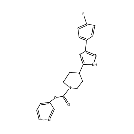 O=C(Oc1cccnc1)N1CCC(c2nc(-c3ccc(F)cc3)n[nH]2)CC1